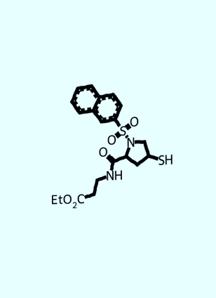 CCOC(=O)CCNC(=O)C1CC(S)CN1S(=O)(=O)c1ccc2ccccc2c1